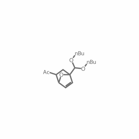 CCCCOC(OCCCC)C12C=CC(O1)C(C(C)=O)C2